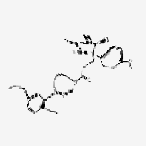 COc1ccc([C@]2(CCC(=O)N3CCN(c4cc(Cl)ccc4C)CC3)NC(=O)NC2=O)cc1